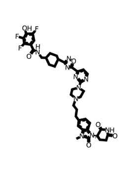 Cn1c(=O)n([C@@H]2CCC(=O)NC2=O)c2ccc(CCCN3CCN(c4nccc(-c5nc(C6CCC(CNC(=O)c7cc(F)c(O)c(F)c7F)CC6)no5)n4)CC3)cc21